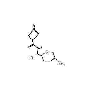 CC1CCC(CNC(=O)C2CNC2)OC1.Cl